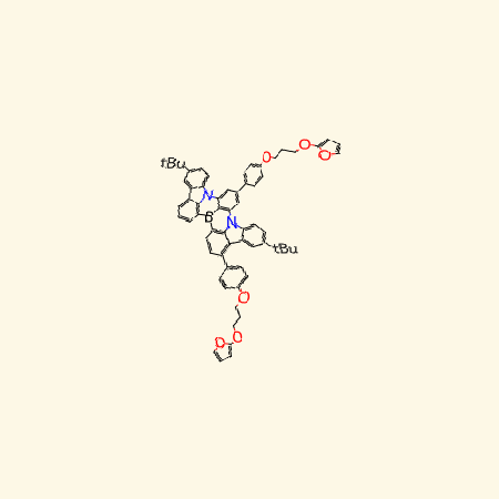 CC(C)(C)c1ccc2c(c1)c1cccc3c1n2-c1cc(-c2ccc(OCCCOc4ccco4)cc2)cc2c1B3c1ccc(-c3ccc(OCCCOc4ccco4)cc3)c3c4cc(C(C)(C)C)ccc4n-2c13